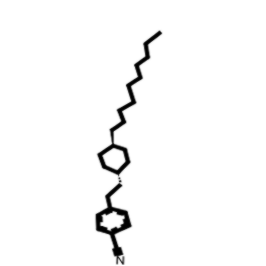 CCCCCCCCCC[C@H]1CC[C@H](CCc2ccc(C#N)cc2)CC1